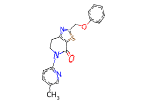 Cc1ccc(N2CCc3nc(COc4ccccc4)sc3C2=O)nc1